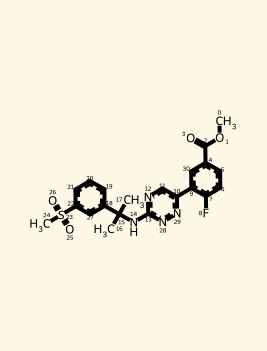 COC(=O)c1ccc(F)c(-c2cnc(NC(C)(C)c3cccc(S(C)(=O)=O)c3)nn2)c1